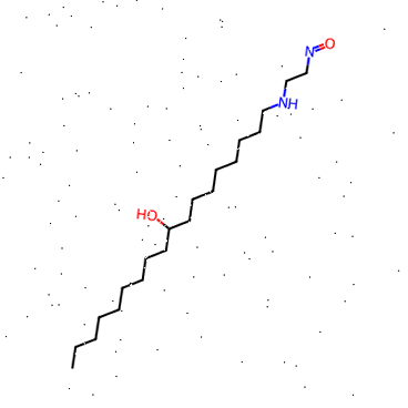 CCCCCCCCCC(O)CCCCCCCCNCCN=O